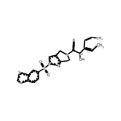 C/C=C\C(=C/C)[C@@H](O)C(=O)N1Cc2cn(S(=O)(=O)c3ccc4ncsc4c3)nc2C1